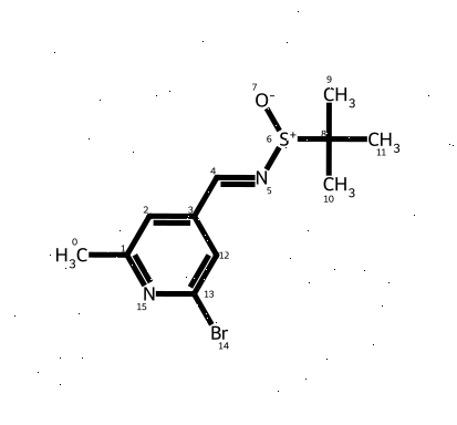 Cc1cc(/C=N/[S+]([O-])C(C)(C)C)cc(Br)n1